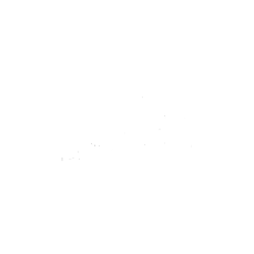 CCCCCCN=CCC[Si](C)(OCC)OCC